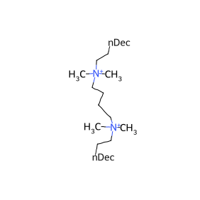 CCCCCCCCCCCC[N+](C)(C)CCCC[N+](C)(C)CCCCCCCCCCCC